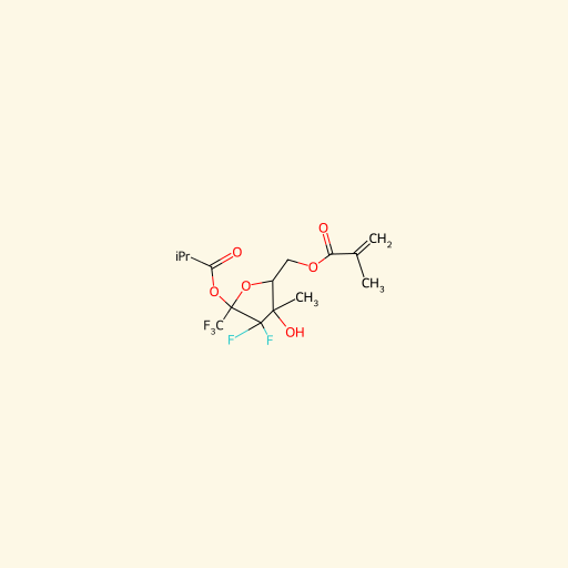 C=C(C)C(=O)OCC1OC(OC(=O)C(C)C)(C(F)(F)F)C(F)(F)C1(C)O